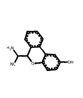 N#CC(N)C1Oc2ccc(O)cc2-c2ccccc21